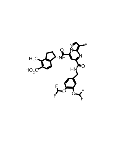 Cc1c(C(=O)O)ccc2c1CC[C@@H]2NC(=O)c1cc(C(=O)NCc2ccc(OC(F)F)c(OC(F)F)c2)nc2c(F)cnn12